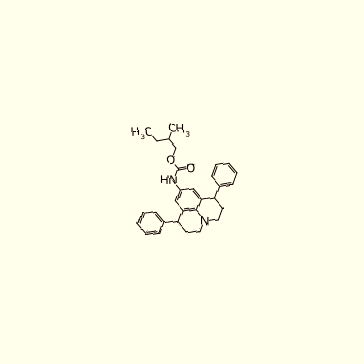 CCC(C)COC(=O)Nc1cc2c3c(c1)C(c1ccccc1)CCN3CCC2c1ccccc1